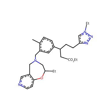 CCOC(=O)CC(CCc1cn(CC)nn1)c1ccc(C)c(CN2Cc3cnccc3OC(CC)C2)c1